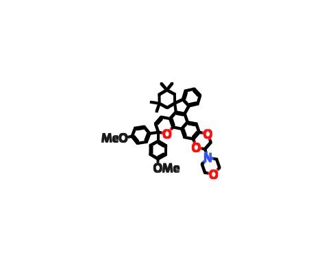 COc1ccc(C2(c3ccc(OC)cc3)C=Cc3c4c(c5cc6c(cc5c3O2)OC(N2CCOCC2)CO6)-c2ccccc2C42CC(C)(C)CC(C)(C)C2)cc1